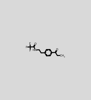 CCC(=O)c1ccc(CCNC(=O)C(F)(F)F)cc1